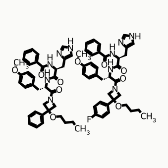 CCCCOC1(c2ccc(F)cc2)CN(C(=O)[C@H](Cc2ccc(OC)cc2)NC(=O)[C@H](Cc2c[nH]cn2)NC(=O)c2ccccc2)C1.CCCCOC1(c2ccccc2)CN(C(=O)[C@H](Cc2ccc(OC)cc2)NC(=O)[C@H](Cc2c[nH]cn2)NC(=O)c2ccccc2)C1